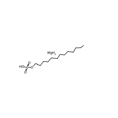 CCCCCCCCCCCCCOS(=O)(=O)O.[MgH2]